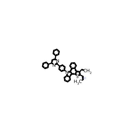 C=Cc1c(/C=C\C)sc2c1c1ccccc1c1c2c2ccccc2n1-c1ccc(-c2nc(-c3ccccc3)cc(-c3ccccc3)n2)cc1